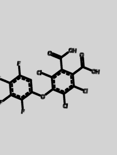 O=C(O)c1c(Cl)c(Cl)c(Oc2cc(F)c(F)c(F)c2F)c(Cl)c1C(=O)O